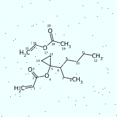 C=CC(=O)OC1(C(CC)CCCC)CC1.C=COC(C)=O